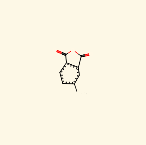 CCOC(=O)c1ccc2c(c1)C(=O)OC2=O